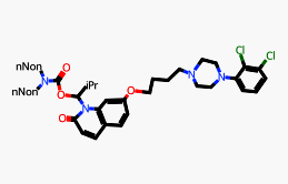 CCCCCCCCCN(CCCCCCCCC)C(=O)OC(C(C)C)n1c(=O)ccc2ccc(OCCCCN3CCN(c4cccc(Cl)c4Cl)CC3)cc21